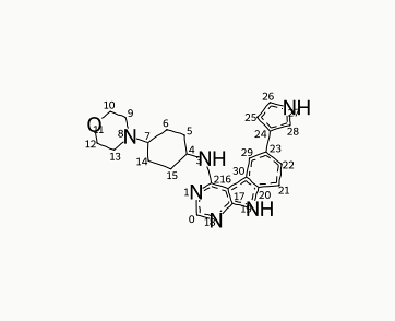 c1nc(NC2CCC(N3CCOCC3)CC2)c2c(n1)[nH]c1ccc(-c3cc[nH]c3)cc12